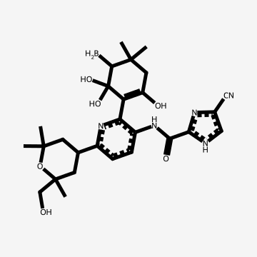 BC1C(C)(C)CC(O)=C(c2nc(C3CC(C)(C)OC(C)(CO)C3)ccc2NC(=O)c2nc(C#N)c[nH]2)C1(O)O